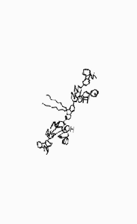 CCCCCCCCC1(CCCCCCCC)c2cc(-c3cnc4c(c3)C(O)(c3ccc(OC)cc3)c3cc(-c5ccc6c(c5)c5ccccc5n6CC)cnc3-4)ccc2-c2ccc(-c3cnc4c(c3)C(O)(c3ccc(OC)cc3)c3cc(-c5ccc6c(c5)c5ccccc5n6CC)cnc3-4)cc21